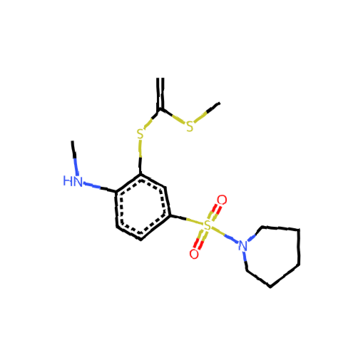 C=C(SC)Sc1cc(S(=O)(=O)N2CCCCC2)ccc1NC